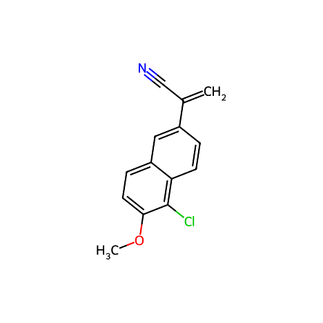 C=C(C#N)c1ccc2c(Cl)c(OC)ccc2c1